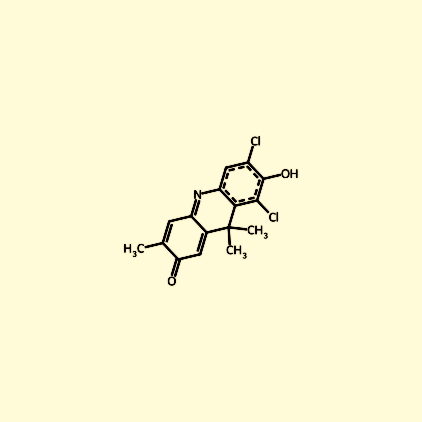 CC1=CC2=Nc3cc(Cl)c(O)c(Cl)c3C(C)(C)C2=CC1=O